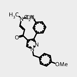 COc1ccc(Cn2cc(C(=O)C=CN(C)C)c(-c3cccc([N+](=O)[O-])c3)n2)cc1